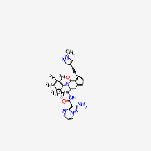 [2H]c1c([2H])c([2H])c(-n2c([C@@H](C)NC(=O)c3c(N)nn4cccnc34)cc3cccc(C#Cc4cnn(C)c4)c3c2=O)c([2H])c1[2H]